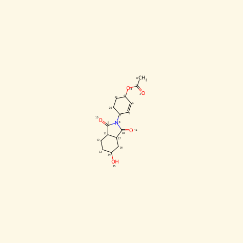 CC(=O)OC1C=CC(N2C(=O)C3CCC(O)CC3C2=O)CC1